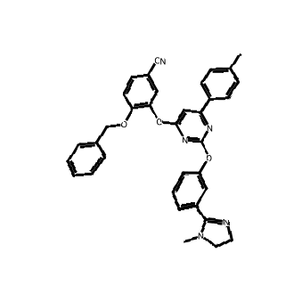 Cc1ccc(-c2cc(Oc3cc(C#N)ccc3OCc3ccccc3)nc(Oc3cccc(C4=NCCN4C)c3)n2)cc1